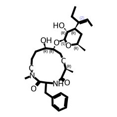 C/C=C(/CC)[C@H]1C[C@@H](C)O[C@@H](O[C@@H]2CC[C@@H](C)C(=O)NC(Cc3ccccc3)C(=O)N(C)CCC[C@H]2O)[C@@H]1O